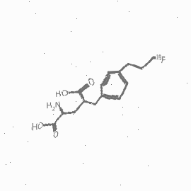 NC(CC(Cc1ccc(CCC[18F])cc1)C(=O)O)C(=O)O